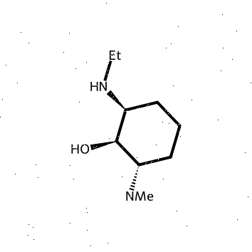 CCN[C@H]1CCC[C@H](NC)[C@H]1O